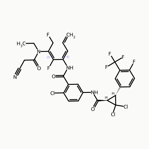 C=C/C=C(NC(=O)c1cc(NC(=O)[C@H]2[C@H](c3ccc(F)c(C(F)(F)F)c3)C2(Cl)Cl)ccc1Cl)\C(F)=C(/CF)N(CC)C(=O)CC#N